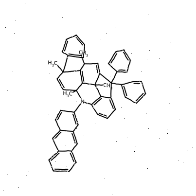 CC1C=C2C3(C)C4=C1C(C)(c1ccccc1)C=CC4(C)N(c1ccc4cc5ccccc5cc4c1)c1cccc(c13)C2(c1ccccc1)c1ccccc1